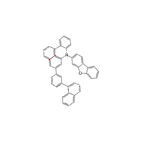 c1ccc(-c2ccccc2N(c2cccc(-c3cccc(-c4cccc5ccccc45)c3)c2)c2ccc3c(c2)oc2ccccc23)cc1